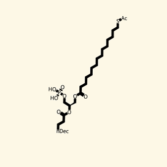 CCCCCCCCCCCCC(=O)O[C@H](COC(=O)CCCCCCCCCCCCCCSC(C)=O)COP(=O)(O)O